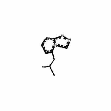 CC(C)Cc1cccc2nncn12